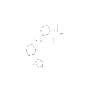 O=C1CNc2c(cccc2C(=O)Nc2cccc(-c3cnco3)c2)N1